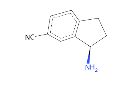 N#Cc1ccc2c(c1)[C@H](N)CC2